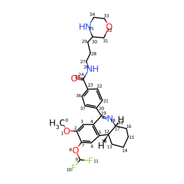 COc1cc2c(cc1OC(F)F)[C@H]1CCCC[C@H]1N=C2c1ccc(C(=O)NCCCC2COCCN2)cc1